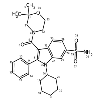 CC1(C)CN(C(=O)c2c(-c3ccccc3)n(C3CCCCC3)c3cc(S(N)(=O)=O)ccc23)CCO1